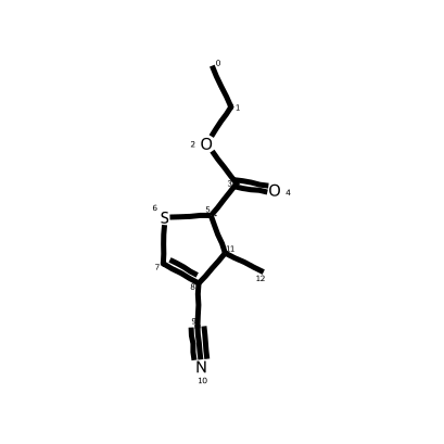 CCOC(=O)[C]1SC=C(C#N)C1C